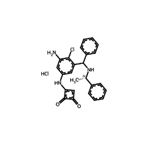 C[C@H](NC(c1ccccc1)c1cc(Nc2cc(=O)c2=O)cc(N)c1Cl)c1ccccc1.Cl